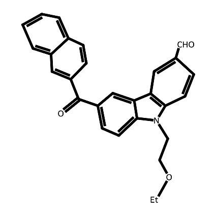 CCOCCn1c2ccc(C=O)cc2c2cc(C(=O)c3ccc4ccccc4c3)ccc21